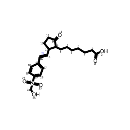 O=C(O)CCCCCCC1C(=O)CCC1/C=C/c1ccc(S(=O)(=O)CO)cc1